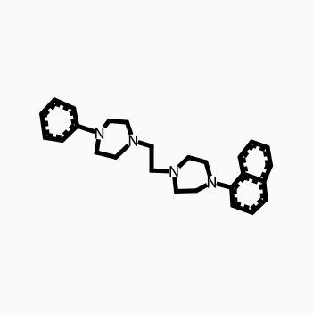 c1ccc(N2CCN(CCN3CCN(c4cccc5ccccc45)CC3)CC2)cc1